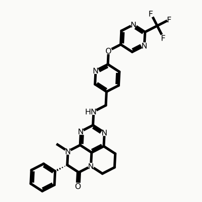 CN1c2nc(NCc3ccc(Oc4cnc(C(F)(F)F)nc4)nc3)nc3c2N(CCC3)C(=O)[C@@H]1c1ccccc1